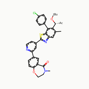 CC(=O)[C@@H](OC(C)(C)C)c1c(C)cc2nc(-c3ccnc(-c4ccc5c(c4)C(=O)N(C)CCO5)c3)sc2c1-c1ccc(Cl)cc1